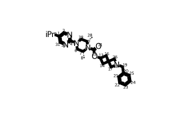 CC(C)c1cnc(N2C[C@@H](C)N(C(=O)OC3CC4(C3)CN(Cc3ccccc3)C4)[C@@H](C)C2)nc1